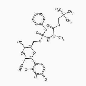 CC(O)[C@@H](COP(=O)(N[C@@H](C)C(=O)OCC(C)(C)C)Oc1ccccc1)O[C@H](CC#N)n1ccc(=O)[nH]c1=O